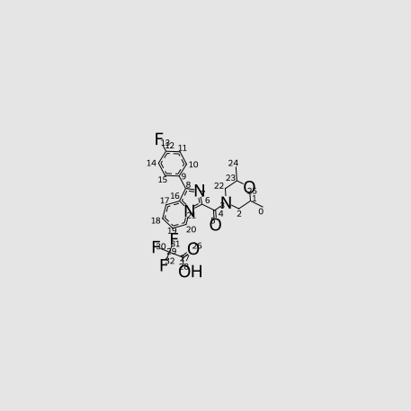 CC1CN(C(=O)c2nc(-c3ccc(F)cc3)c3ccccn23)CC(C)O1.O=C(O)C(F)(F)F